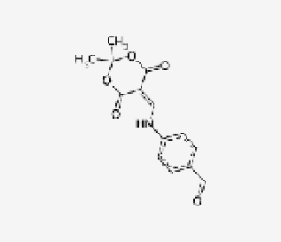 CC1(C)OC(=O)C(=CNc2ccc(C=O)cc2)C(=O)O1